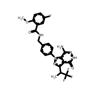 COc1ccc(F)cc1C(=O)NCc1ccc(-n2nc(C(C)C(F)(F)F)c3c(=O)[nH]nc(N)c32)cc1